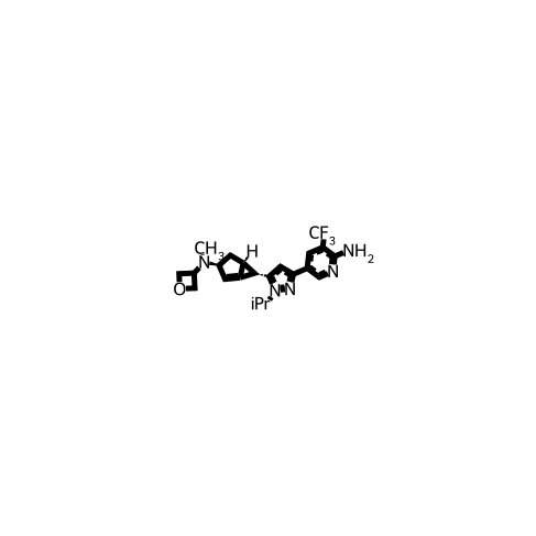 CC(C)n1nc(-c2cnc(N)c(C(F)(F)F)c2)cc1[C@@H]1C2=C[C@@H](N(C)C3COC3)C[C@H]21